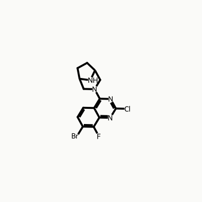 Fc1c(Br)ccc2c(N3CC4CCC(C3)N4)nc(Cl)nc12